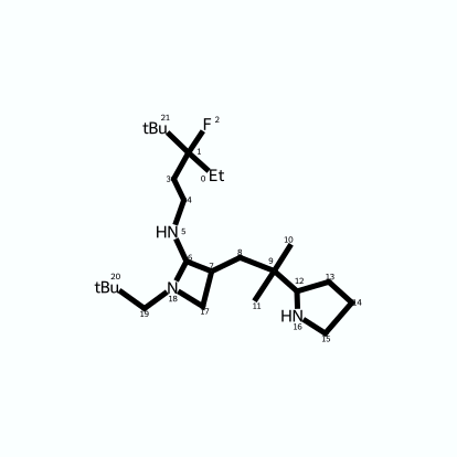 CCC(F)(CCNC1C(CC(C)(C)C2CCCN2)CN1CC(C)(C)C)C(C)(C)C